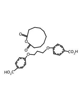 O=C(O)c1ccc(OCCCOc2ccc(C(=O)O)cc2)cc1.O=C1CCCCCCCCC(=O)O1